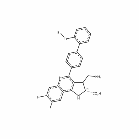 CCOc1ccccc1-c1ccc(-c2nc3cc(F)c(F)cc3c3c2C(CN)[C@H](C(=O)O)N3)cc1